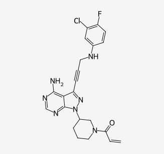 C=CC(=O)N1CCCC(n2nc(C#CCNc3ccc(F)c(Cl)c3)c3c(N)ncnc32)C1